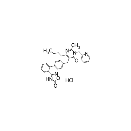 CCCCc1nc(C)n(Cc2ccccn2)c(=O)c1Cc1ccc(-c2ccccc2-c2noc(=O)[nH]2)cc1.Cl